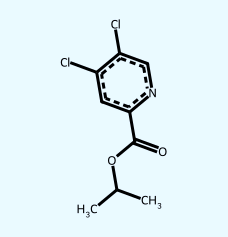 CC(C)OC(=O)c1cc(Cl)c(Cl)cn1